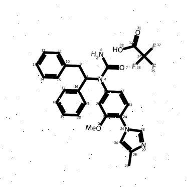 COc1cc(N(C(N)=O)C(Cc2ccccc2)c2ccccc2)ccc1-n1cnc(C)c1.O=C(O)C(F)(F)F